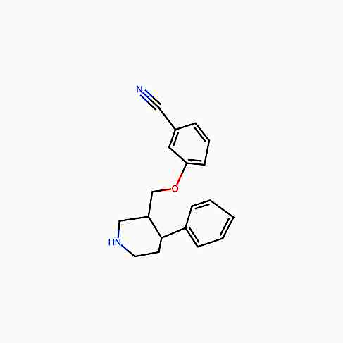 N#Cc1cccc(OCC2CNCCC2c2ccccc2)c1